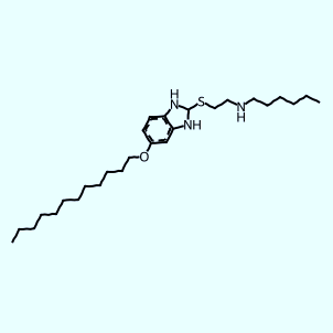 CCCCCCCCCCCCOc1ccc2c(c1)NC(SCCNCCCCCC)N2